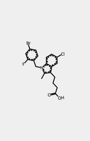 Cc1c(CCCC(=O)O)c2cc(Cl)ccc2n1Cc1ccc(Br)cc1F